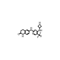 O=C1CCc2cc(Nc3ncc(C(F)(F)F)c(NC4CNC4)n3)ccc2N1